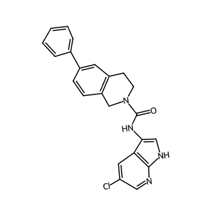 O=C(Nc1c[nH]c2ncc(Cl)cc12)N1CCc2cc(-c3ccccc3)ccc2C1